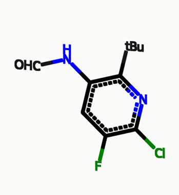 CC(C)(C)c1nc(Cl)c(F)cc1NC=O